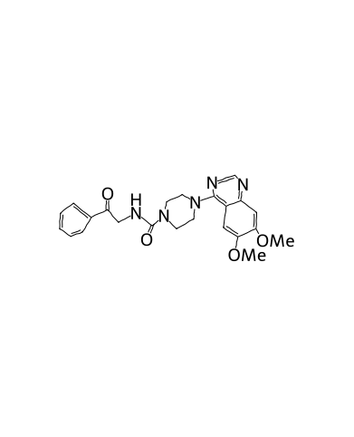 COc1cc2ncnc(N3CCN(C(=O)NCC(=O)c4ccccc4)CC3)c2cc1OC